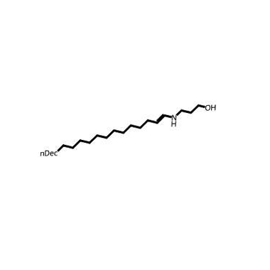 CCCCCCCCCCCCCCCCCCCCCC=CNCCCO